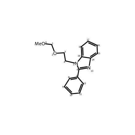 COCOCCn1c(-c2ccccc2)nc2ccccc21